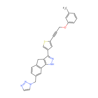 FC(F)(F)c1cccc(OCC#Cc2cc(-c3n[nH]c4c3Cc3ccc(Cn5ccnn5)cc3-4)cs2)c1